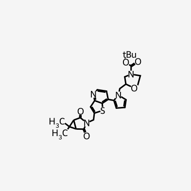 CC(C)(C)OC(=O)N1CCOC(Cn2cccc2-c2ccnc3cc(CN4C(=O)C5C(C4=O)C5(C)C)sc23)C1